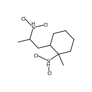 CC(CC1CCCCC1(C)[SiH](Cl)Cl)[SiH](Cl)Cl